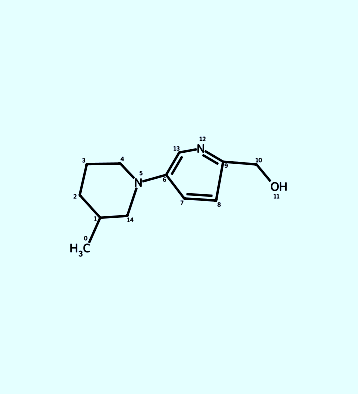 CC1CCCN(c2ccc(CO)nc2)C1